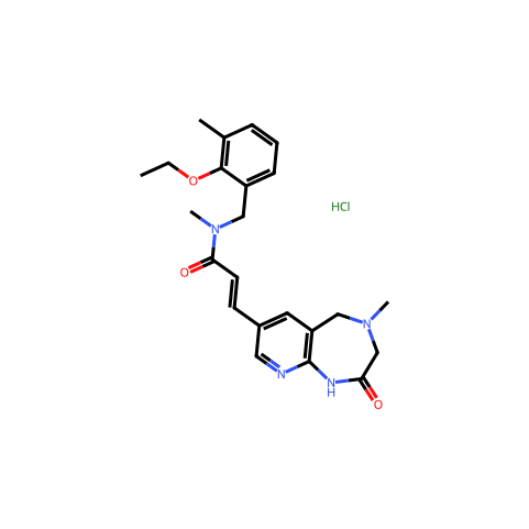 CCOc1c(C)cccc1CN(C)C(=O)C=Cc1cnc2c(c1)CN(C)CC(=O)N2.Cl